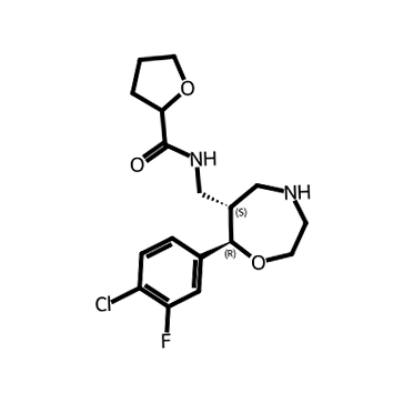 O=C(NC[C@@H]1CNCCO[C@H]1c1ccc(Cl)c(F)c1)C1CCCO1